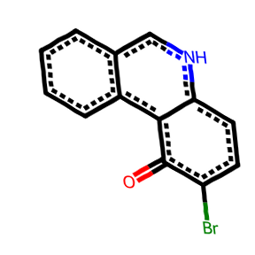 O=c1c(Br)ccc2[nH]cc3ccccc3c1-2